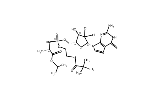 CC(C)OC(=O)[C@H](C)N[P@](=S)(OCCSC(=O)C(C)(C)C)OC[C@H]1O[C@@H](n2cnc3c(=O)[nH]c(N)nc32)C(Cl)(Cl)[C@@H]1O